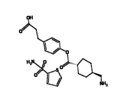 NC[C@H]1CC[C@H](C(=O)Oc2ccc(CCC(=O)O)cc2)CC1.NS(=O)(=O)c1cccs1